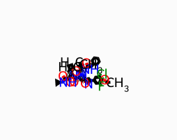 CCOc1c(F)cc(C2=NO[C@]3(C2)C[C@@H](C(=O)N[C@@H](CC2CCC2)C(=O)C(=O)NC2CC2)N(C(=O)[C@@H](NC(=O)CC2CCCCC2)C(C)(C)C)C3)cc1Cl